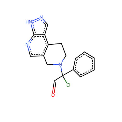 O=CC(Cl)(c1ccccc1)N1CCc2c(cnc3[nH]ncc23)C1